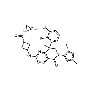 Cn1cc(F)c(N2CC(C)(c3cccc(Cl)c3F)c3nc(NC4CN(C(=O)[C@@H]5C[C@@H]5F)C4)ncc3C2=O)n1